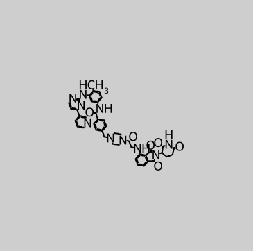 Cc1ccc(NC(=O)c2ccc(CN3CCN(C(=O)CNc4cccc5c4C(=O)N(C4CCC(=O)NC4=O)C5=O)CC3)cc2)cc1Nc1nccc(-c2cccnc2)n1